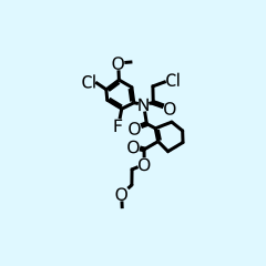 COCCOC(=O)C1=C(C(=O)N(C(=O)CCl)c2cc(OC)c(Cl)cc2F)CCCC1